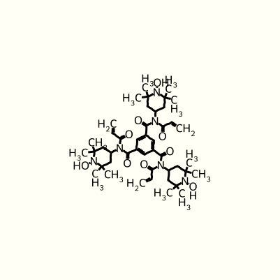 C=CC(=O)N(C(=O)c1cc(C(=O)N(C(=O)C=C)C2CC(C)(C)N(O)C(C)(C)C2)cc(C(=O)N(C(=O)C=C)C2CC(C)(C)N(O)C(C)(C)C2)c1)C1CC(C)(C)N(O)C(C)(C)C1